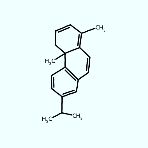 CC1=C2C=Cc3cc(C(C)C)ccc3C2(C)CC=C1